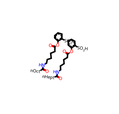 CCCCCCCC(=O)NCCCCCC(=O)Oc1ccccc1S(=O)(=O)O.CCCCCCCCC(=O)NCCCCCC(=O)Oc1ccccc1S(=O)(=O)O